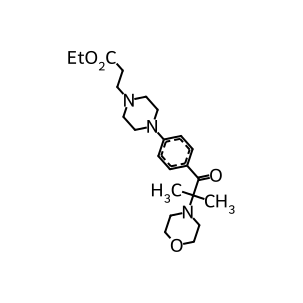 CCOC(=O)CCN1CCN(c2ccc(C(=O)C(C)(C)N3CCOCC3)cc2)CC1